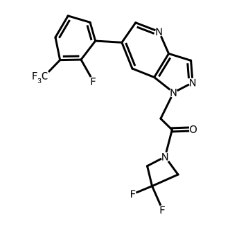 O=C(Cn1ncc2ncc(-c3cccc(C(F)(F)F)c3F)cc21)N1CC(F)(F)C1